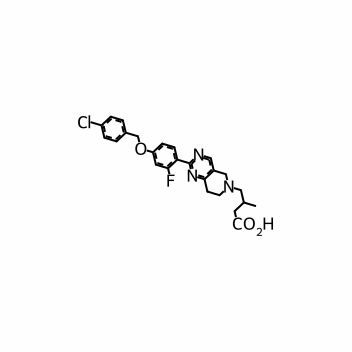 CC(CC(=O)O)CN1CCc2nc(-c3ccc(OCc4ccc(Cl)cc4)cc3F)ncc2C1